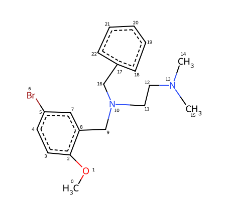 COc1ccc(Br)cc1CN(CCN(C)C)Cc1ccccc1